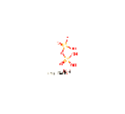 O.O=P(O)(O)OP(=O)(O)O.[NaH].[NaH].[NaH]